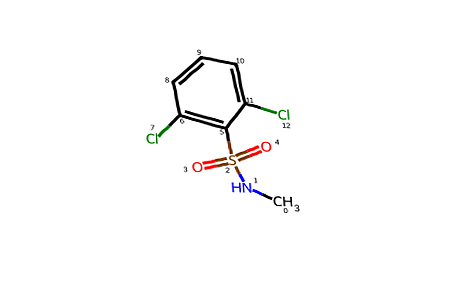 CNS(=O)(=O)c1c(Cl)cccc1Cl